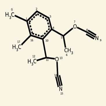 Cc1ccc(C(C)OC#N)c(C(C)OC#N)c1C